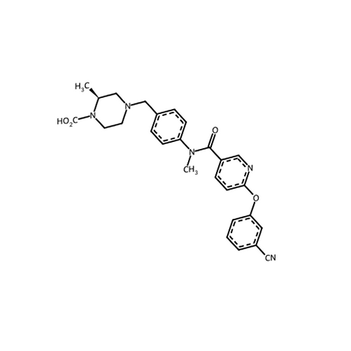 C[C@H]1CN(Cc2ccc(N(C)C(=O)c3ccc(Oc4cccc(C#N)c4)nc3)cc2)CCN1C(=O)O